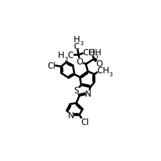 Cc1cc2nc(-c3ccnc(Cl)c3)sc2c(-c2ccc(Cl)cc2)c1C(OC(C)(C)C)C(=O)O